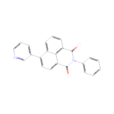 O=C1c2cccc3c(-c4cccnc4)ccc(c23)C(=O)N1c1ccccc1